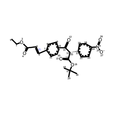 CCOC(=O)/C=C/c1ccc(C(=O)[C@@H](C(=O)OC(C)(C)C)c2ccc([N+](=O)[O-])cc2)cc1